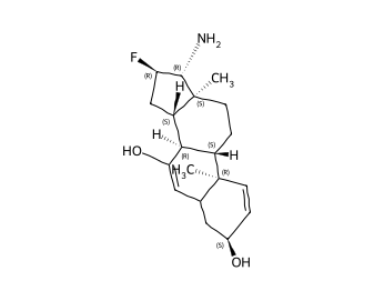 C[C@]12CC[C@H]3[C@@H](C(O)=CC4C[C@H](O)C=C[C@@]43C)[C@@H]1C[C@@H](F)[C@@H]2N